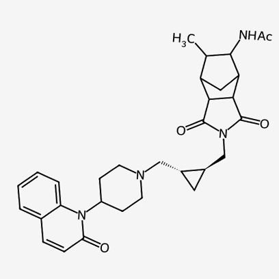 CC(=O)NC1C(C)C2CC1C1C(=O)N(C[C@H]3C[C@@H]3CN3CCC(n4c(=O)ccc5ccccc54)CC3)C(=O)C21